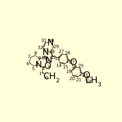 C=CC(=O)N1CCCC[C@H]1c1nc(-c2ccc(Oc3cccc(OC)c3)cc2)c2cnccn12